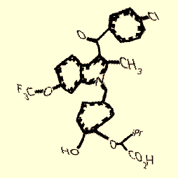 Cc1c(C(=O)c2ccc(Cl)cc2)c2ccc(OC(F)(F)F)cc2n1Cc1ccc(O)c(OC(C(=O)O)C(C)C)c1